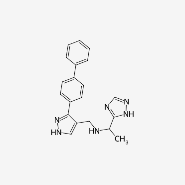 CC(NCc1c[nH]nc1-c1ccc(-c2ccccc2)cc1)c1ncn[nH]1